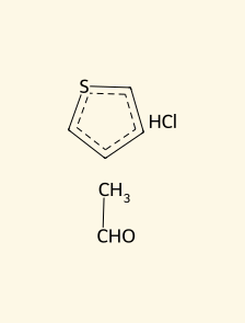 CC=O.Cl.c1ccsc1